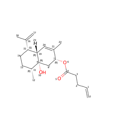 C=CCCC(=O)O[C@@H]1[C][C@@]2(O)[C@H](C)CC[C@H](C(=C)C)[C@@H]2C=C1C